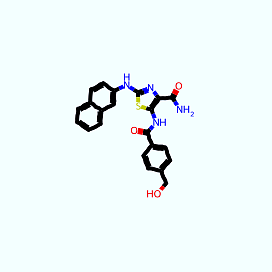 NC(=O)c1nc(Nc2ccc3ccccc3c2)sc1NC(=O)c1ccc(CO)cc1